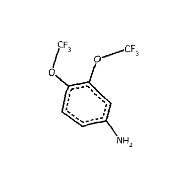 Nc1ccc(OC(F)(F)F)c(OC(F)(F)F)c1